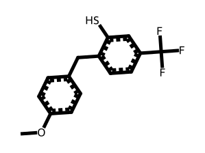 COc1ccc(Cc2ccc(C(F)(F)F)cc2S)cc1